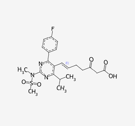 CC(C)c1nc(N(C)S(C)(=O)=O)nc(-c2ccc(F)cc2)c1/C=C/CCC(=O)CC(=O)O